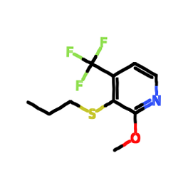 CCCSc1c(C(F)(F)F)ccnc1OC